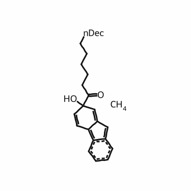 C.CCCCCCCCCCCCCCCC(=O)C1(O)C=CC2=c3ccccc3=CC2=C1